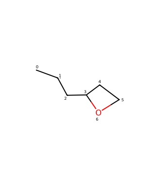 C[CH]CC1CCO1